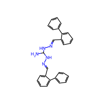 NC(N/N=C/c1ccccc1-c1ccccc1)N/N=C/c1ccccc1-c1ccccc1